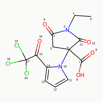 CCN1C(=O)CC(C(=O)O)(n2cccc2C(=O)C(Cl)(Cl)Cl)C1=O